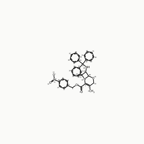 CC1=C(C(=O)OCc2ccc([N+](=O)[O-])cc2)N2C(=O)C(NC(c3ccccc3)(c3ccccc3)c3ccccc3)C2OC1